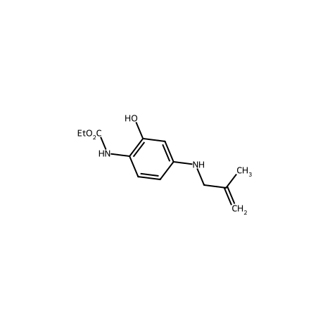 C=C(C)CNc1ccc(NC(=O)OCC)c(O)c1